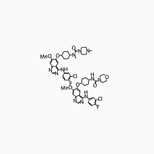 COc1cc2ncnc(Nc3ccc(F)c(Cl)c3)c2cc1OC1CCC(N(C)C(=O)N2CCN(C)CC2)CC1.COc1cc2ncnc(Nc3ccc(F)c(Cl)c3)c2cc1OC1CCC(NC(=O)N2CCOCC2)CC1